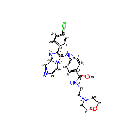 O=C(NCCN1CCOCC1)c1ccc(Nc2c(-c3ccc(Cl)cc3)nc3cnccn23)cc1